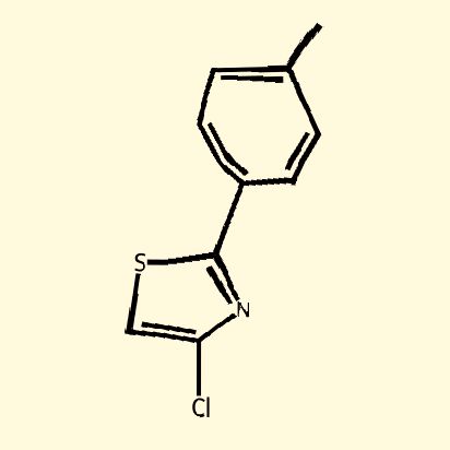 Cc1ccc(-c2nc(Cl)cs2)cc1